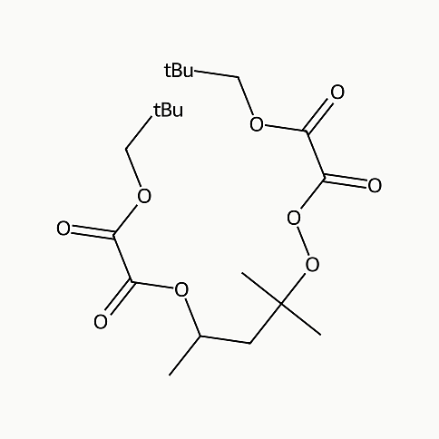 CC(CC(C)(C)OOC(=O)C(=O)OCC(C)(C)C)OC(=O)C(=O)OCC(C)(C)C